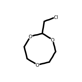 ClCC1OCCOCCO1